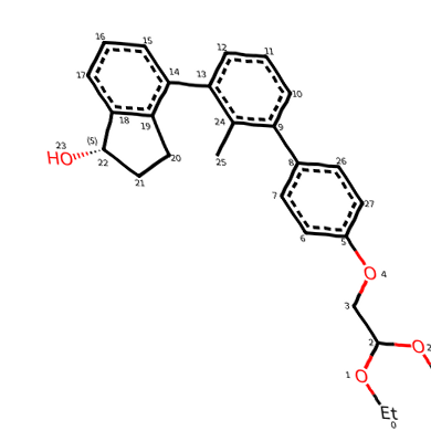 CCOC(COc1ccc(-c2cccc(-c3cccc4c3CC[C@@H]4O)c2C)cc1)OCC